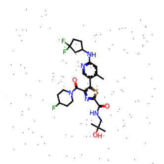 Cc1cc(NC2CCC(F)(F)C2)ncc1-c1sc(C(=O)NCC(C)(C)O)nc1C(=O)N1CCC(F)CC1